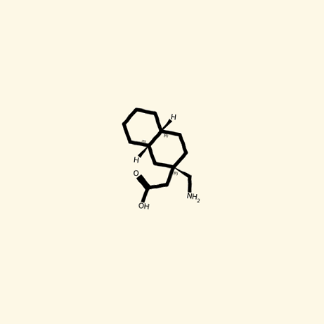 NC[C@]1(CC(=O)O)CC[C@H]2CCCC[C@H]2C1